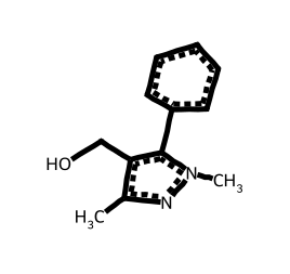 Cc1nn(C)c(-c2ccccc2)c1CO